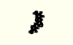 COc1ccc(/C=C2/COC/C(=C\c3ccc(OC)c(C)c3C)C2=O)c(C)c1C